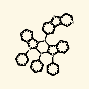 c1ccc(B2c3c(c4ccccc4n3-c3ccccc3)N(c3ccc4oc5ccncc5c4c3)c3c2n(-c2ccccc2)c2ccccc32)cc1